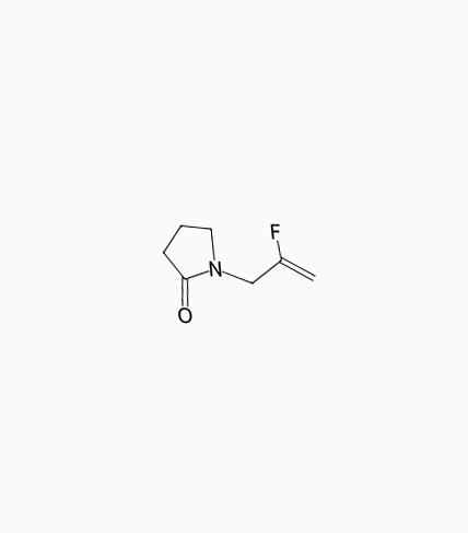 C=C(F)CN1CCCC1=O